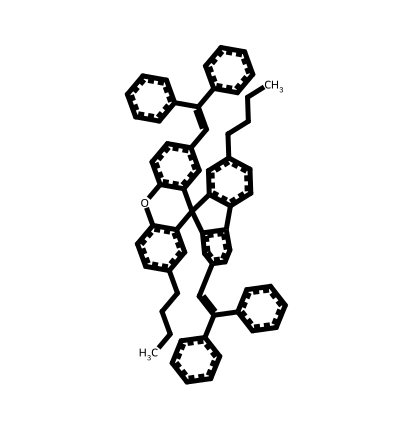 CCCCc1ccc2c(c1)C1(c3cc(C=C(c4ccccc4)c4ccccc4)ccc3O2)c2cc(C=C(c3ccccc3)c3ccccc3)ccc2-c2ccc(CCCC)cc21